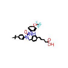 CC(C)(C)c1ccc(N(Cc2ccc(C=CCCC(=O)O)cc2)C(=O)Nc2ccc(OC(F)(F)F)cc2)cc1